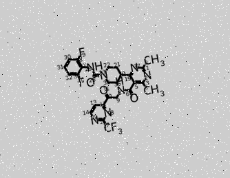 Cc1nc(C)c(C(=O)NCC(=O)c2ccnc(C(F)(F)F)n2)c(C2CCN(C(=O)Nc3c(F)cccc3F)CC2)n1